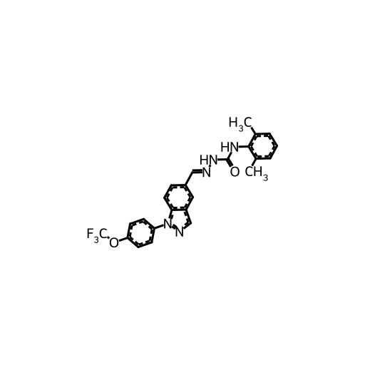 Cc1cccc(C)c1NC(=O)NN=Cc1ccc2c(cnn2-c2ccc(OC(F)(F)F)cc2)c1